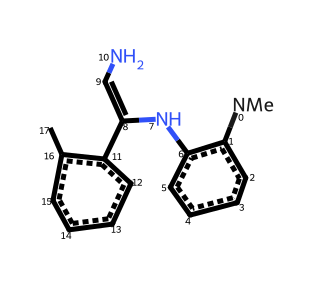 CNc1ccccc1N/C(=C\N)c1ccccc1C